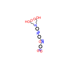 O=C(O)CCCN(CCCC(=O)O)c1ccc(N=Nc2ccc(-c3nnc(-c4ccc([N+](=O)[O-])cc4)o3)cc2)cc1